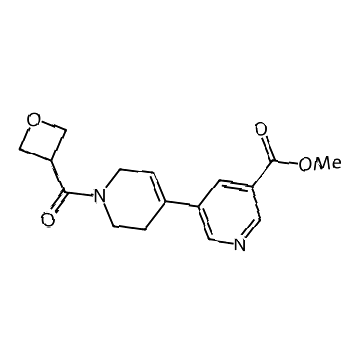 COC(=O)c1cncc(C2=CCN(C(=O)C3COC3)CC2)c1